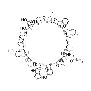 CCCC[C@H]1C(=O)N2CCC[C@@H]2C(=O)N[C@@H](CC(=O)O)C(O)N[C@@H](C(C)C)C(=O)N(C)[C@@H](CC(C)C)C(=O)N[C@@H](Cc2ccc(O)cc2)C(=O)N2CCCC[C@@H]2C(=O)N[C@@H](Cc2c[nH]c3ccccc23)C(=O)N[C@@H](Cc2ccc(O)cc2)C(=O)N[C@@H](CC(C)C)C(=O)N[C@H](C(=O)NCC(N)=O)CSCC(=O)N[C@@H](Cc2ccc(F)cc2)C(=O)N(C)C(Cc2ccccc2)C(=O)N1C